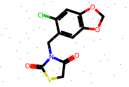 O=C1CSC(=O)N1Cc1cc2c(cc1Cl)OCO2